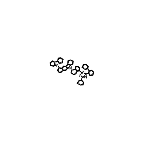 c1ccc(-c2nc(-c3ccccc3-c3ccccc3)nc(-c3cccc4c(-n5c6ccccc6c6cc7c(-n8c9ccccc9c9ccccc98)cccc7cc65)cccc34)n2)cc1